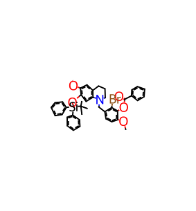 COc1cc2c(cc1O[Si](c1ccccc1)(c1ccccc1)C(C)(C)C)N(Cc1ccc(OC)c(OC(=O)c3ccccc3)c1Br)CCC2